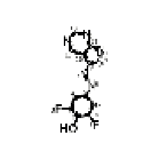 Oc1c(F)cc(/N=N/c2snc3ncncc23)cc1F